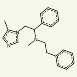 Cc1cncn1CC(c1ccccc1)N(C)CCc1ccccc1